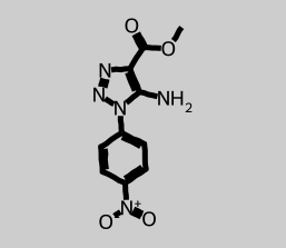 COC(=O)c1nnn(-c2ccc([N+](=O)[O-])cc2)c1N